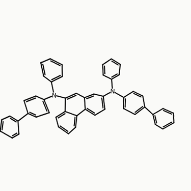 c1ccc(-c2ccc(N(c3ccccc3)c3ccc4c(c3)cc(N(c3ccccc3)c3ccc(-c5ccccc5)cc3)c3ccccc34)cc2)cc1